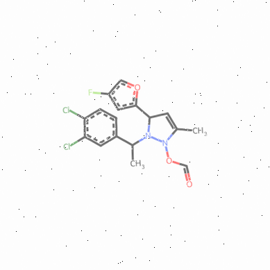 CC1=CC(c2cc(F)co2)N(C(C)c2ccc(Cl)c(Cl)c2)N1OC=O